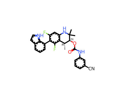 C[C@@H]1c2c(cc(F)c(-c3cccc4cc[nH]c34)c2F)NC(C)(C)[C@H]1OC(=O)Nc1cccc(C#N)c1